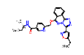 COCc1cc(-c2nnc3c4ccccc4c(OCc4ccc(C(=O)N[C@@H](C)COC)cn4)nn23)no1